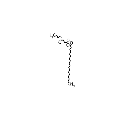 CCCCCCCCCCCCCCCCCC(=O)OC(=O)CCC(=O)OCCC